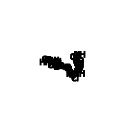 CNC(=O)COc1cc2cc(Nc3nc(N4CCC[C@H](COc5cccc6c(C7CCC(=O)NC7=O)nn(C)c56)C4)ncc3Cl)ccc2n(C)c1=O